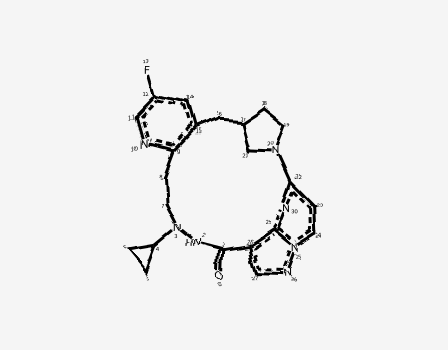 O=C1NN(C2CC2)CCc2ncc(F)cc2CC2CCN(C2)c2ccn3ncc1c3n2